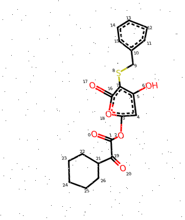 O=C(Oc1cc(O)c(SCc2ccccc2)c(=O)o1)C(=O)C1CCCCC1